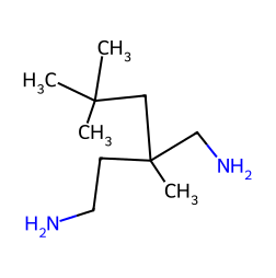 CC(C)(C)CC(C)(CN)CCN